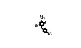 CCc1ccc(Cc2cc(I)c(C)cc2Br)cc1